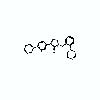 O=C1[C@H](Cc2ccccc2N2CCNCC2)CCN1c1ccc(N2CCCCC2)nc1